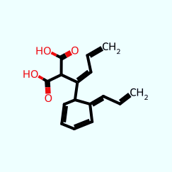 C=CC=C1C=CC=CC1C(=CC=C)C(C(=O)O)C(=O)O